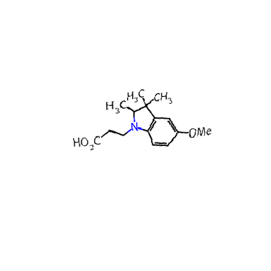 COc1ccc2c(c1)C(C)(C)C(C)N2CCC(=O)O